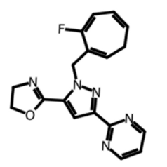 FC1=CC=CCC=C1Cn1nc(-c2ncccn2)cc1C1=NCCO1